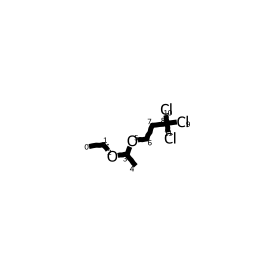 C[CH]OC(C)OCCC(Cl)(Cl)Cl